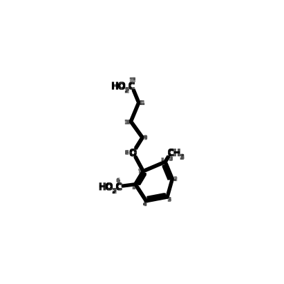 Cc1cccc(C(=O)O)c1OCCCC(=O)O